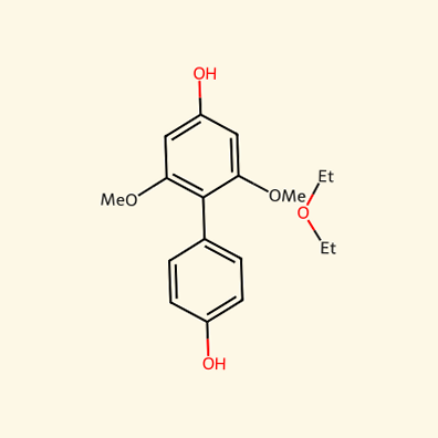 CCOCC.COc1cc(O)cc(OC)c1-c1ccc(O)cc1